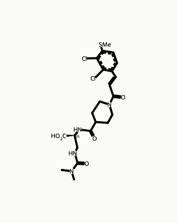 CSc1ccc(C=CC(=O)N2CCC(C(=O)N[C@@H](CNC(=O)N(C)C)C(=O)O)CC2)c(Cl)c1Cl